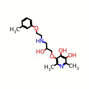 Cc1cccc(OCCNCC(O)COc2c(C)nc(C)c(O)c2O)c1